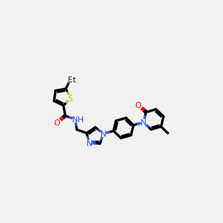 CCc1ccc(C(=O)NCc2cn(-c3ccc(-n4cc(C)ccc4=O)cc3)cn2)s1